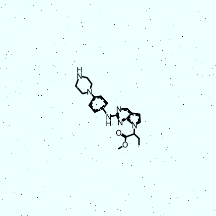 CCC(C(=O)OC)n1ccc2cnc(Nc3ccc(N4CCNCC4)cc3)nc21